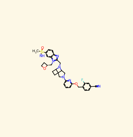 CS(=N)(=O)c1ccc2nc(CN3C4CCC45CN(c4cccc(OCc6ccc(C#N)cc6F)n4)CC35)n(C[C@@H]3CCO3)c2c1